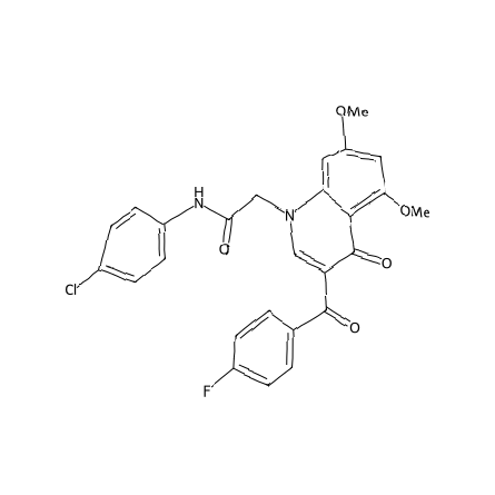 COc1cc(OC)c2c(=O)c(C(=O)c3ccc(F)cc3)cn(CC(=O)Nc3ccc(Cl)cc3)c2c1